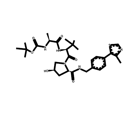 Cc1ncsc1-c1ccc(CNC(=O)[C@@H]2C[C@@H](O)CN2C(=O)[C@@H](NC(=O)[C@H](C)NC(=O)OC(C)(C)C)C(C)(C)C)cc1